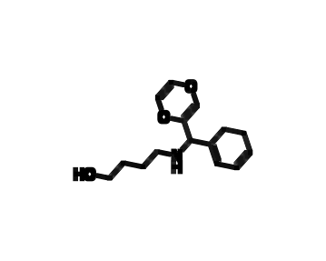 OCCCCNC(C1=CC=CCC1)C1=COC=CO1